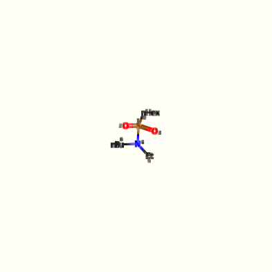 CCCCCCS(=O)(=O)N(CC)CCCC